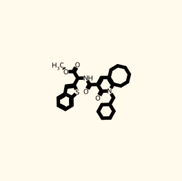 COC(=O)C(NC(=O)c1cc2c(n(CC3CCCCC3)c1=O)CCCCCC2)c1cc2ccccc2s1